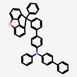 c1ccc(-c2ccc(N(c3ccccc3)c3ccc(-c4cccc(C5(c6ccccc6)c6cccc7oc8cccc5c8c67)c4)cc3)cc2)cc1